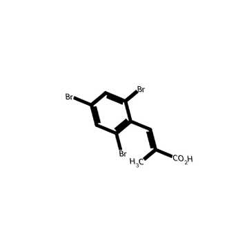 CC(=Cc1c(Br)cc(Br)cc1Br)C(=O)O